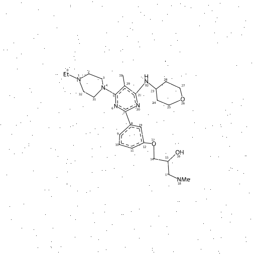 CCN1CCN(c2nc(-c3cccc(OCC(O)CNC)c3)nc(NC3CCOCC3)c2C)CC1